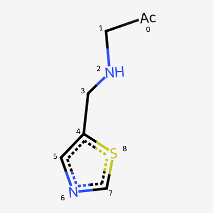 CC(=O)CNCc1cncs1